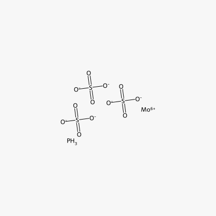 O=S(=O)([O-])[O-].O=S(=O)([O-])[O-].O=S(=O)([O-])[O-].P.[Mo+6]